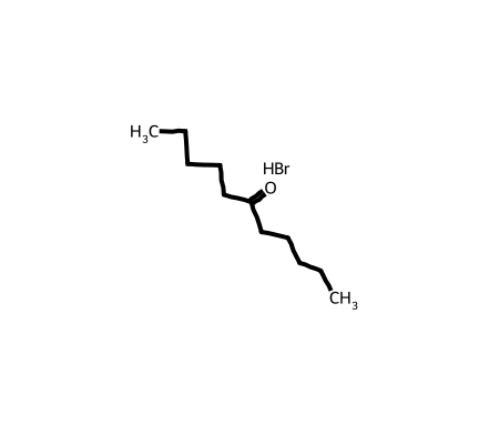 Br.CCCCCC(=O)CCCCC